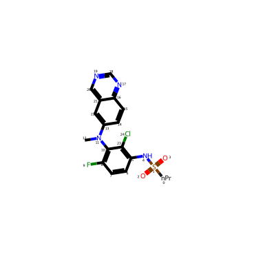 CCCS(=O)(=O)Nc1ccc(F)c(N(C)c2ccc3ncncc3c2)c1Cl